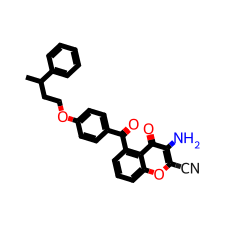 CC(CCOc1ccc(C(=O)c2cccc3oc(C#N)c(N)c(=O)c23)cc1)c1ccccc1